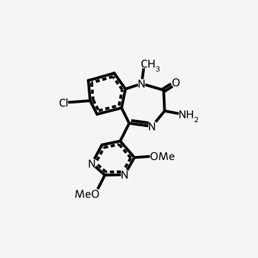 COc1ncc(C2=NC(N)C(=O)N(C)c3ccc(Cl)cc32)c(OC)n1